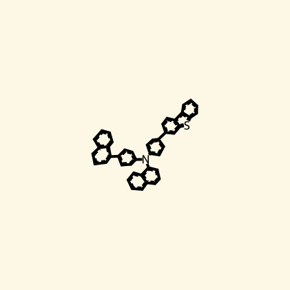 c1ccc2c(-c3ccc(N(c4ccc(-c5ccc6c(c5)sc5ccccc56)cc4)c4cccc5ccccc45)cc3)cccc2c1